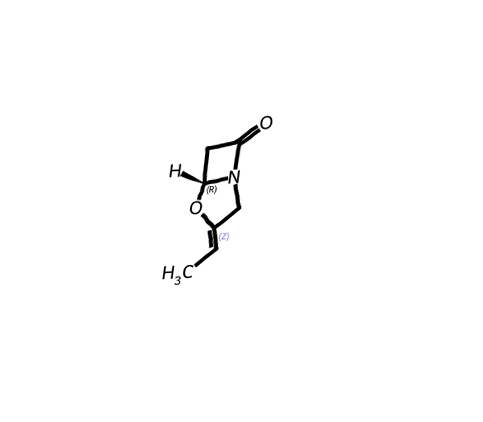 C/C=C1/CN2C(=O)C[C@H]2O1